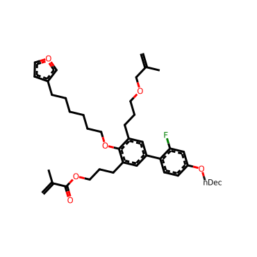 C=C(C)COCCCc1cc(-c2ccc(OCCCCCCCCCC)cc2F)cc(CCCOC(=O)C(=C)C)c1OCCCCCCc1ccoc1